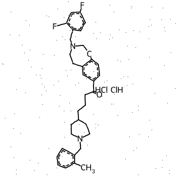 Cc1ccccc1CN1CCC(CCCC(=O)c2ccc3c(c2)CCN(Cc2ccc(F)cc2F)CC3)CC1.Cl.Cl